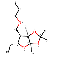 CCCOC[C@H]1[C@H]2OC(C)(C)O[C@H]2O[C@@H]1CC